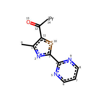 Cc1nc(-c2ncccn2)sc1C(=O)C(C)C